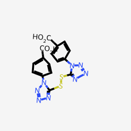 O=C(O)c1ccc(-n2nnnc2SSc2nnnn2-c2ccc(C(=O)O)cc2)cc1